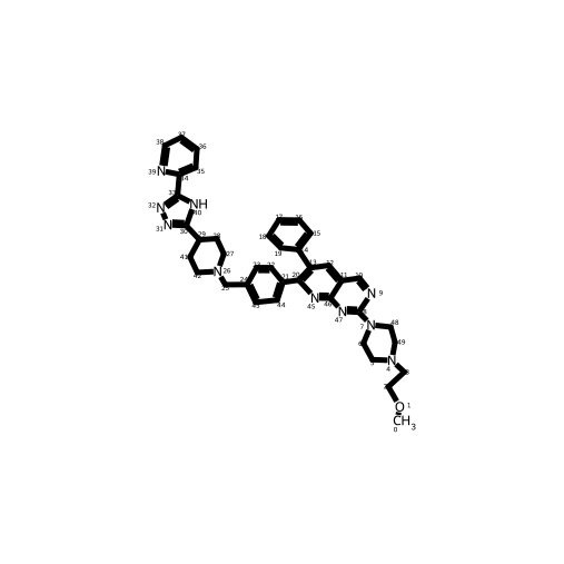 COCCN1CCN(c2ncc3cc(-c4ccccc4)c(-c4ccc(CN5CCC(c6nnc(-c7ccccn7)[nH]6)CC5)cc4)nc3n2)CC1